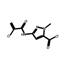 C=C(Cl)C(=O)Nc1cc(C(=O)Cl)n(C)n1